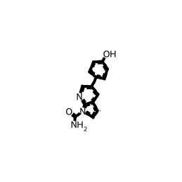 NC(=O)n1c[c]c2cc(-c3ccc(O)cc3)cnc21